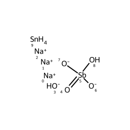 [Na+].[Na+].[Na+].[OH-].[O]=[Sb]([O-])([O-])[OH].[SnH4]